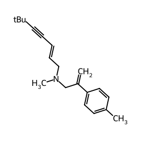 C=C(CN(C)CC=CC#CC(C)(C)C)c1ccc(C)cc1